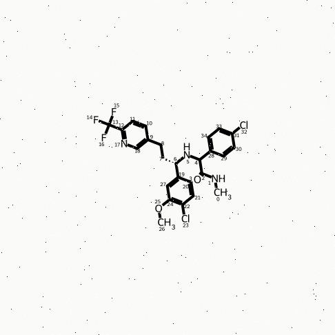 CNC(=O)C(N[C@@H](CCc1ccc(C(F)(F)F)nc1)c1ccc(Cl)c(OC)c1)c1ccc(Cl)cc1